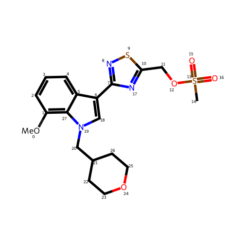 COc1cccc2c(-c3nsc(COS(C)(=O)=O)n3)cn(CC3CCOCC3)c12